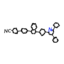 N#Cc1ccc(-c2ccc(-c3ccc(-c4ccc(-c5cc(-c6ccccc6)cc(-c6ccccc6)n5)cc4)c4ccccc34)cc2)cc1